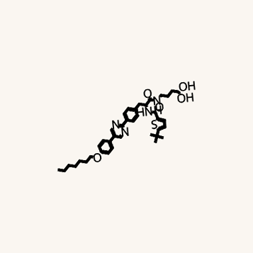 CCCCCCCOc1ccc(-c2cnc(-c3ccc(CC(NC(=O)c4ccc(C(C)(C)C)s4)C(=O)NCCCC(O)O)cc3)nc2)cc1